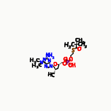 C#C[C@H]1C[C@@H](COP(=O)(O)OCCSC(=O)C(C)(C)C)O[C@H]1n1cnc2c(N(C)C)nc(N)nc21